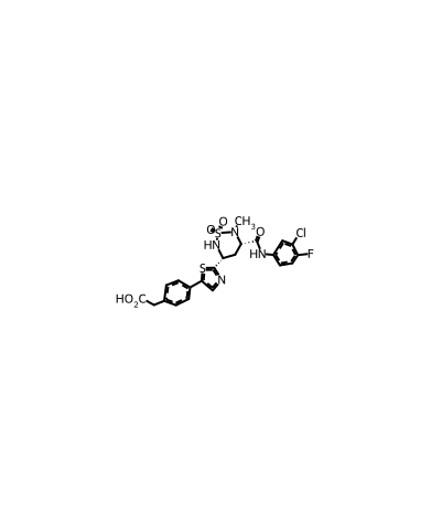 CN1[C@H](C(=O)Nc2ccc(F)c(Cl)c2)C[C@H](c2ncc(-c3ccc(CC(=O)O)cc3)s2)NS1(=O)=O